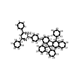 C1=C(c2ccccc2)NC(c2ccc(-c3ccc4c(c3)C3(c5ccccc5-c5ccccc53)c3cc5ccccc5c(-c5ccccc5)c3-4)cc2)N=C1c1ccccc1